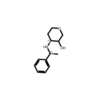 C[C@H](N[C@H]1CCOCC1O)c1ccccc1